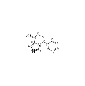 O=C1CCC(c2ccccc2)n2cncc21